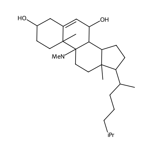 CNC12CCC3(C)C(C(C)CCCC(C)C)CCC3C1C(O)C=C1CC(O)CCC12C